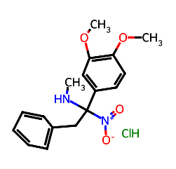 CNC(Cc1ccccc1)(c1ccc(OC)c(OC)c1)[N+](=O)[O-].Cl